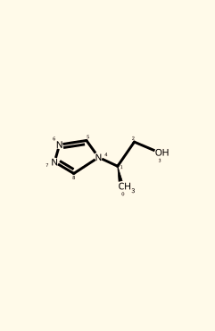 C[C@H](CO)n1cnnc1